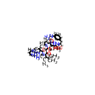 CC[C@H](C)[C@@H]([C@@H](CC(=O)N1CCC[C@H]1[C@H](OC)[C@@H](C)C(=O)N[C@H](CO)Cc1cccc(N)c1)OC)N(C)C(=O)[C@@H](Nc1ncccn1)C(C)C